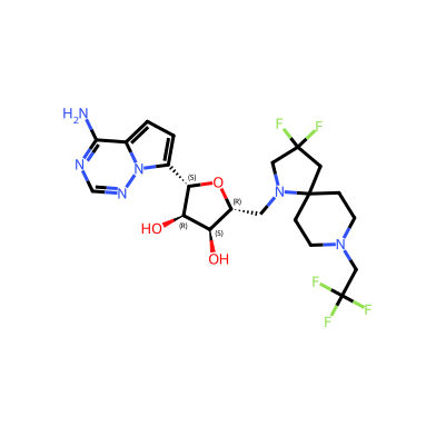 Nc1ncnn2c([C@@H]3O[C@H](CN4CC(F)(F)CC45CCN(CC(F)(F)F)CC5)[C@@H](O)[C@H]3O)ccc12